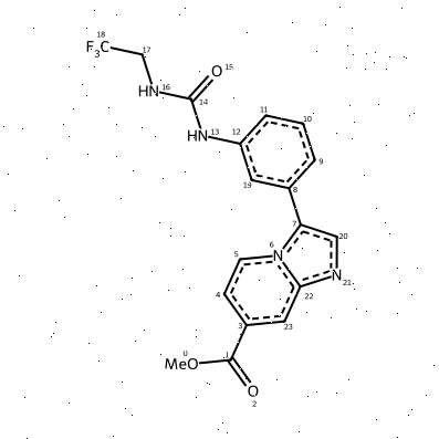 COC(=O)c1ccn2c(-c3cccc(NC(=O)NCC(F)(F)F)c3)cnc2c1